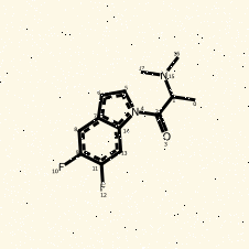 CC(C(=O)n1ccc2cc(F)c(F)cc21)N(C)C